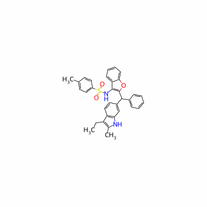 CCc1c(C)[nH]c2cc(C(c3ccccc3)c3oc4ccccc4c3NS(=O)(=O)c3ccc(C)cc3)ccc12